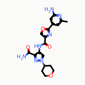 Cc1cc(-c2nc(C(=O)Nc3cn(C4CCOCC4)nc3C(N)=O)co2)cc(N)n1